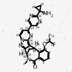 CN1C(=O)c2cccc(OC(F)F)c2[C@H]2C[C@@H]1c1nn3ccc(-c4cnc(C5(N)CC5)nc4)nc3c12